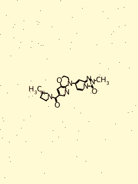 C[C@@H]1CCN(C(=O)c2cnc3c(c2)OCCN3c2ccn3c(=O)n(C)nc3c2)C1